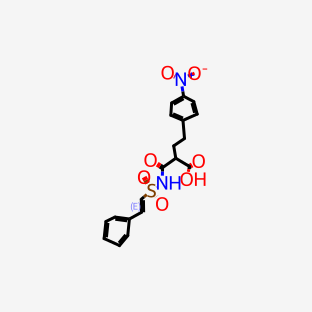 O=C(O)C(CCc1ccc([N+](=O)[O-])cc1)C(=O)NS(=O)(=O)/C=C/c1ccccc1